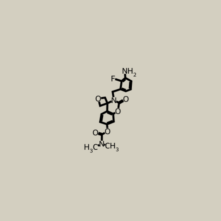 CN(C)C(=O)Oc1ccc2c(c1)OC(=O)N(Cc1cccc(N)c1F)C21COC1